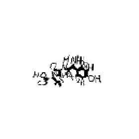 [2H]c1c([2H])c([C@@H](N)C(=O)N[C@@H]2C(=O)N3[C@@H]2SC(C)(C)[C@@H]3C(=O)O)c([2H])c([2H])c1O